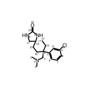 CN(C)C[C@]1(c2cccc(Cl)c2)CC[C@]2(CC1)CNC(=O)N2